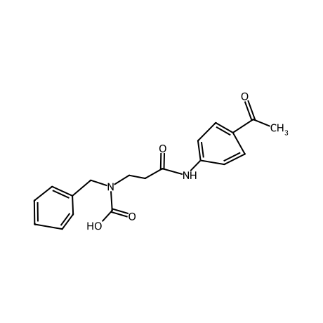 CC(=O)c1ccc(NC(=O)CCN(Cc2ccccc2)C(=O)O)cc1